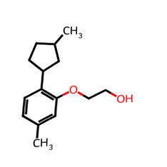 Cc1ccc(C2CCC(C)C2)c(OCCO)c1